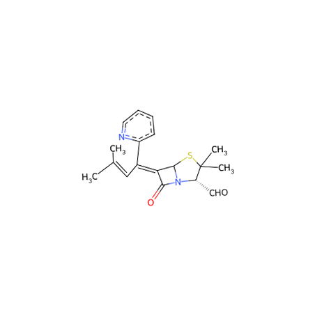 CC(C)=C/C(=C1\C(=O)N2C1SC(C)(C)[C@@H]2C=O)c1ccccn1